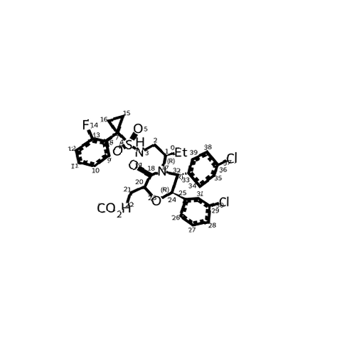 CC[C@H](CNS(=O)(=O)C1(c2ccccc2F)CC1)N1C(=O)C(CC(=O)O)O[C@H](c2cccc(Cl)c2)[C@H]1c1ccc(Cl)cc1